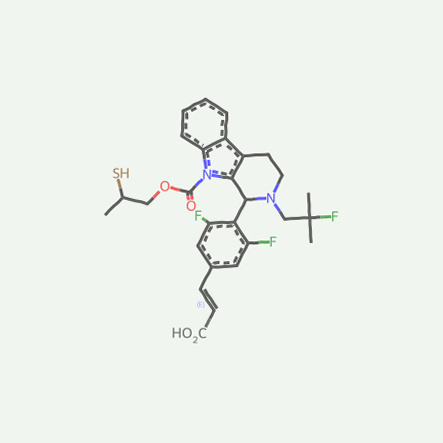 CC(S)COC(=O)n1c2c(c3ccccc31)CCN(CC(C)(C)F)C2c1c(F)cc(/C=C/C(=O)O)cc1F